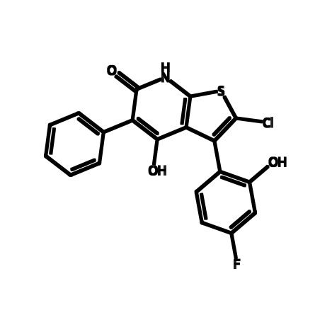 O=c1[nH]c2sc(Cl)c(-c3ccc(F)cc3O)c2c(O)c1-c1ccccc1